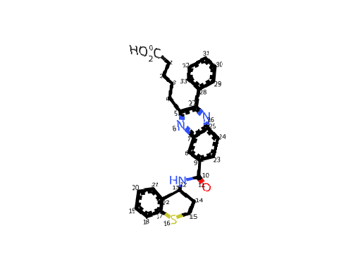 O=C(O)CCCCc1nc2cc(C(=O)NC3CCSc4ccccc43)ccc2nc1-c1ccccc1